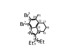 CCN(CC)c1nc2c(Br)c(Br)c(C)c3c2n1CCC3